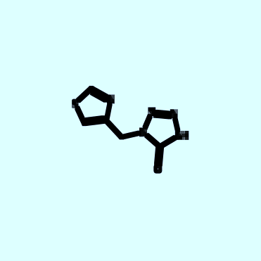 O=c1[nH]nnn1Cc1cscn1